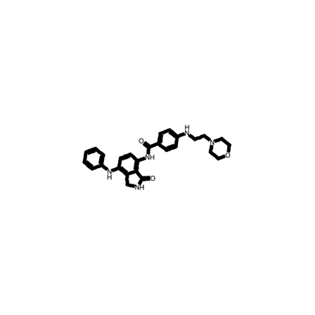 O=C(Nc1ccc(Nc2ccccc2)c2c1C(=O)NC2)c1ccc(NCCN2CCOCC2)cc1